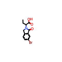 CCC(C(=O)O)N1Cc2ccc(Br)cc2C1=O